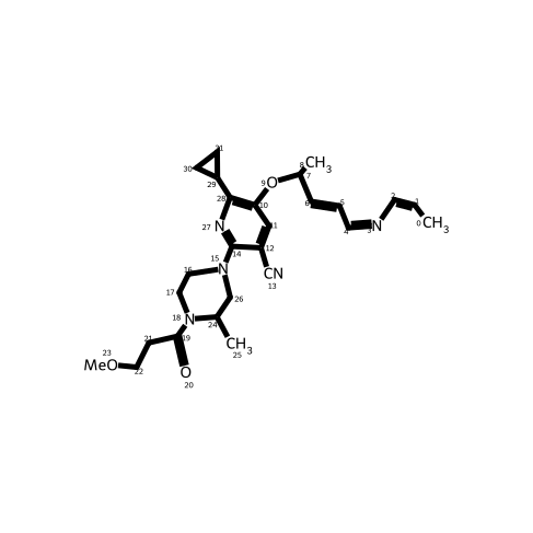 C\C=C/N=C\C=C\C(C)Oc1cc(C#N)c(N2CCN(C(=O)CCOC)C(C)C2)nc1C1CC1